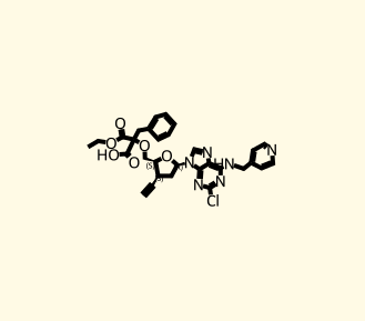 C#C[C@@H]1C[C@H](n2cnc3c(NCc4ccncc4)nc(Cl)nc32)O[C@@H]1COC(Cc1ccccc1)(C(=O)O)C(=O)OCC